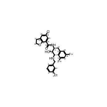 CCc1cccc(CNC[C@@H](O)[C@H](Cc2cc(F)cc(F)c2)NC(=O)c2cc(Cl)cc3c2OCC3)c1